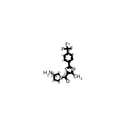 Cc1nc(-c2ccc(C(F)(F)F)cc2)sc1C(=O)N1CC[C@@H](N)C1